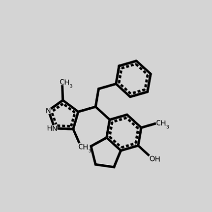 Cc1cc(C(Cc2ccccc2)c2c(C)n[nH]c2C)c2c(c1O)CCC2